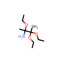 CCOC(C)(N)C([SiH3])(OCC)OCC